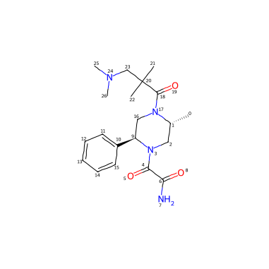 C[C@@H]1CN(C(=O)C(N)=O)[C@@H](c2ccccc2)CN1C(=O)C(C)(C)CN(C)C